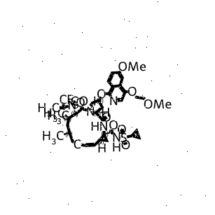 COCCOc1cnc(O[C@@H]2C[C@H]3C(=O)N[C@]4(C(=O)NS(=O)(=O)C5CC5)C[C@H]4C=CCC[C@@H](C)C[C@@H](C)[C@H](N(C(=O)O)C(C)(C)C(F)(F)F)C(=O)N3C2)c2ccc(OC)cc12